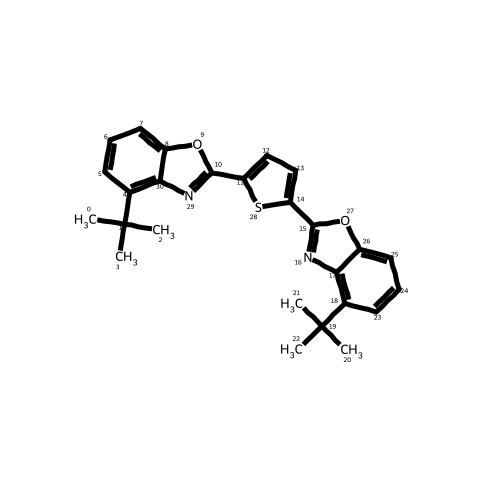 CC(C)(C)c1cccc2oc(-c3ccc(-c4nc5c(C(C)(C)C)cccc5o4)s3)nc12